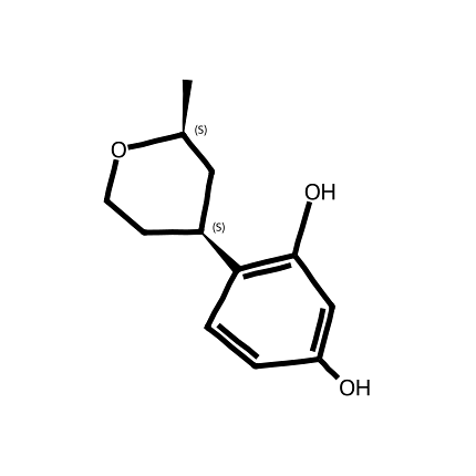 C[C@H]1C[C@@H](c2ccc(O)cc2O)CCO1